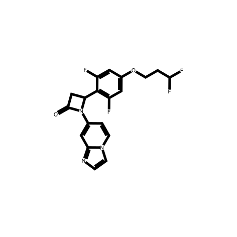 O=C1CC(c2c(F)cc(OCCC(F)F)cc2F)N1c1ccn2ccnc2c1